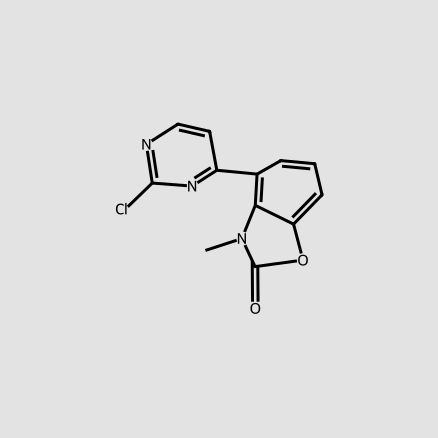 Cn1c(=O)oc2cccc(-c3ccnc(Cl)n3)c21